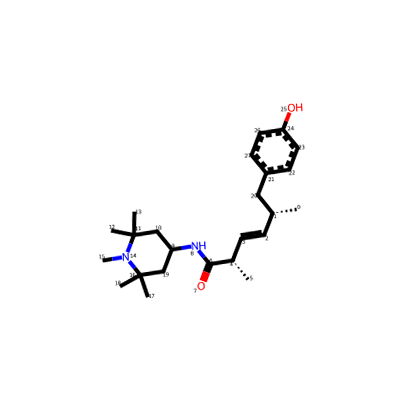 C[C@H](/C=C/[C@H](C)C(=O)NC1CC(C)(C)N(C)C(C)(C)C1)Cc1ccc(O)cc1